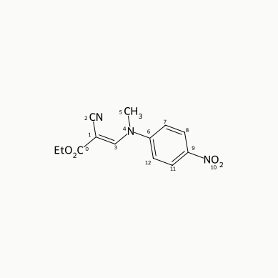 CCOC(=O)C(C#N)=CN(C)c1ccc([N+](=O)[O-])cc1